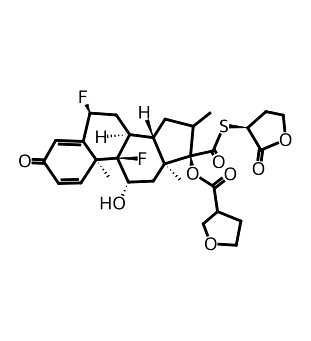 CC1C[C@H]2[C@@H]3C[C@H](F)C4=CC(=O)C=C[C@]4(C)[C@@]3(F)[C@@H](O)C[C@]2(C)[C@@]1(OC(=O)C1CCOC1)C(=O)S[C@H]1CCOC1=O